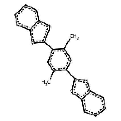 Cc1cc(-c2nc3ccccc3s2)c(C)cc1-c1nc2ccccc2s1